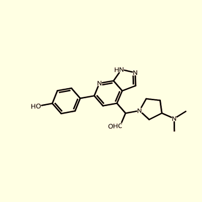 CN(C)C1CCN(C(C=O)c2cc(-c3ccc(O)cc3)nc3[nH]ncc23)C1